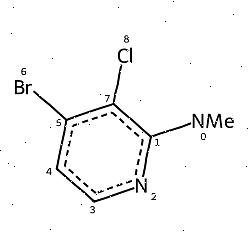 CNc1nccc(Br)c1Cl